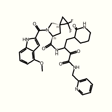 COc1cccc2[nH]c(C(=O)N3C[C@]4(C[C@H]3C(=O)NC(CC3CCCNC3=O)C(=O)C(=O)NCc3ccccn3)CC4(F)F)cc12